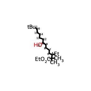 CCOC(=O)C(C)(C)C(CC)CCCCC(O)CCCCCC(C)(C)C